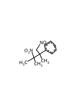 CC(C[N+](=O)[O-])(c1ccccc1)C(C)(C)[N+](=O)[O-]